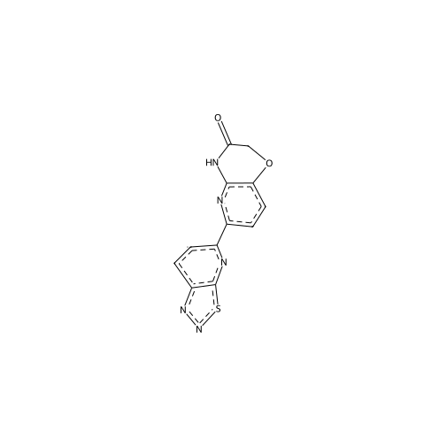 O=C1COc2ccc(-c3[c]cc4nnsc4n3)nc2N1